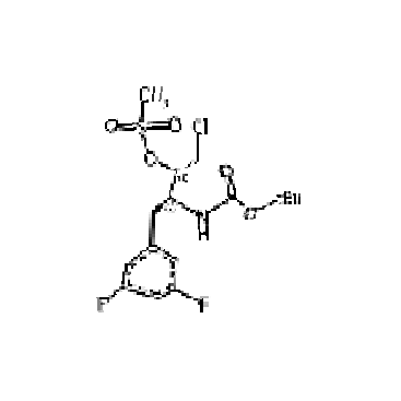 CC(C)(C)OC(=O)N[C@@H](Cc1cc(F)cc(F)c1)[C@@H](CCl)OS(C)(=O)=O